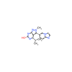 CC(C)c1nc(O)nc2nn(C)c(-c3ccc4nccn4c3)c12